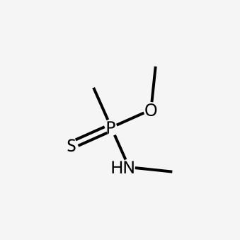 CNP(C)(=S)OC